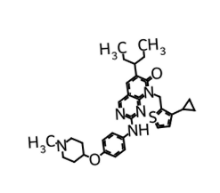 CCC(CC)c1cc2cnc(Nc3ccc(OC4CCN(C)CC4)cc3)nc2n(Cc2sccc2C2CC2)c1=O